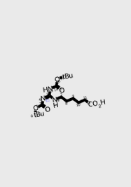 CC(C)(C)OC(=O)/N=C(\NCCCCCC(=O)O)NC(=O)OC(C)(C)C